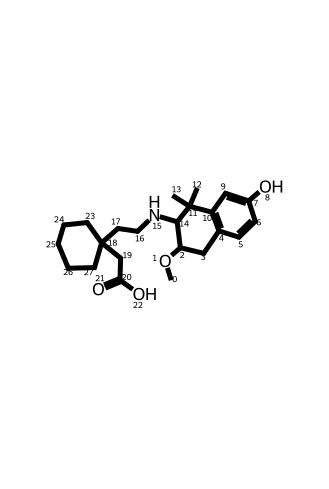 COC1Cc2ccc(O)cc2C(C)(C)C1NCCC1(CC(=O)O)CCCCC1